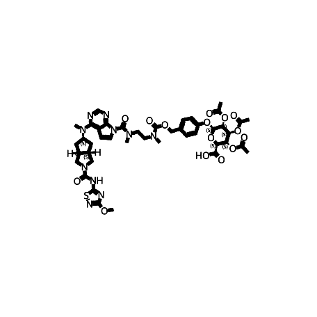 COc1nsc(NC(=O)N2C[C@H]3C[C@H](N(C)c4ncnc5c4ccn5C(=O)N(C)CCN(C)C(=O)OCc4ccc(O[C@@H]5O[C@H](C(=O)O)[C@@H](OC(C)=O)[C@H](OC(C)=O)[C@H]5OC(C)=O)cc4)C[C@H]3C2)n1